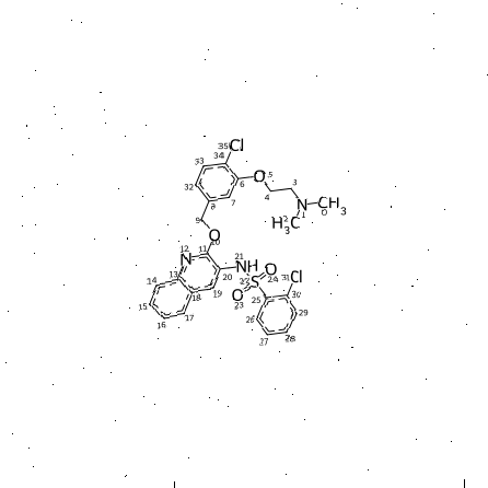 CN(C)CCOc1cc(COc2nc3ccccc3cc2NS(=O)(=O)c2ccccc2Cl)ccc1Cl